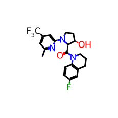 Cc1cc(C(F)(F)F)cc(N2CC[C@@H](O)[C@H]2C(=O)N2CCCc3cc(F)ccc32)n1